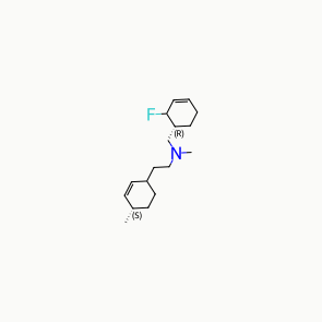 C[C@@H]1C=CC(CCN(C)C[C@H]2CCC=CC2F)CC1